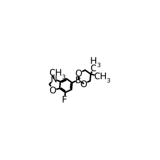 CN1COc2c(F)cc(B3OCC(C)(C)CO3)cc21